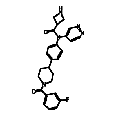 O=C(c1cccc(F)c1)N1CCC(c2ccc(N(C(=O)C3CNC3)c3ccnnc3)cc2)CC1